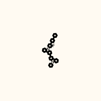 Fc1cc(-n2c3ccccc3c3cc(-c4ccc5c(c4)c4ccccc4n5-c4ccccc4)ccc32)ccc1-c1ccc(-c2ccccc2)cc1